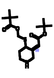 CC(C)(C)OC(=O)/C=C1/CNCCC1SCOC(=O)C(C)(C)C